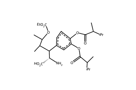 CCOC(=O)OC(C)C(C)C(c1ccc(OC(=O)C(C)C(C)C)c(OC(=O)C(C)C(C)C)c1)[C@H](N)C(=O)O